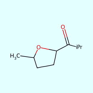 CC1CCC(C(=O)C(C)C)O1